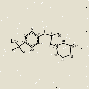 CCC(C)(C)c1ccc(CC(C)CN2CCCC(C)C2)cc1